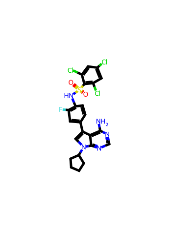 Nc1ncnc2c1c(-c1ccc(NS(=O)(=O)c3c(Cl)cc(Cl)cc3Cl)c(F)c1)cn2C1CCCC1